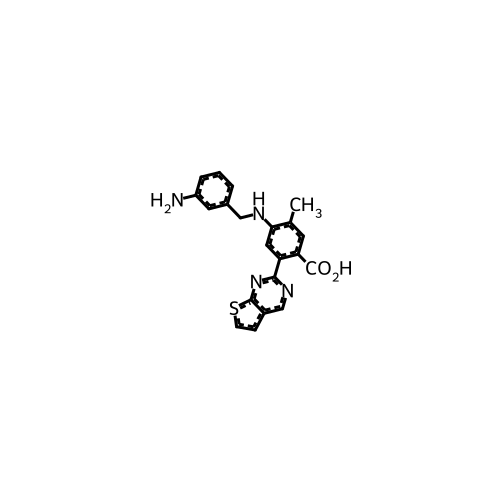 Cc1cc(C(=O)O)c(-c2ncc3ccsc3n2)cc1NCc1cccc(N)c1